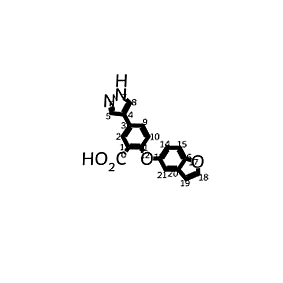 O=C(O)c1cc(-c2cn[nH]c2)ccc1Oc1ccc2occc2c1